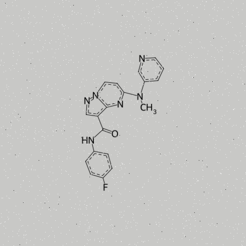 CN(c1cccnc1)c1ccn2ncc(C(=O)Nc3ccc(F)cc3)c2n1